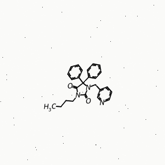 CCCCN1C(=O)N(Cc2cccnc2)C(c2ccccc2)(c2ccccc2)C1=O